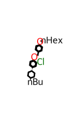 CCCCCCOc1ccc(COc2ccc([C@H]3CC[C@H](CCCC)CC3)cc2Cl)cc1